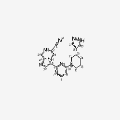 N#Cc1cn2c(-c3nccc(N4CCCC(c5cn[nH]c5)C4)n3)cnc2cn1